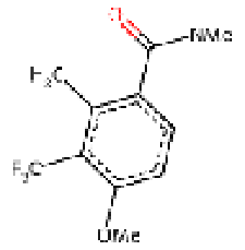 CNC(=O)c1ccc(OC)c(C(F)(F)F)c1C